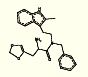 Cc1[nH]c2ccccc2c1CCN(Cc1ccccc1)C(=O)C(N)CC1=COCO1